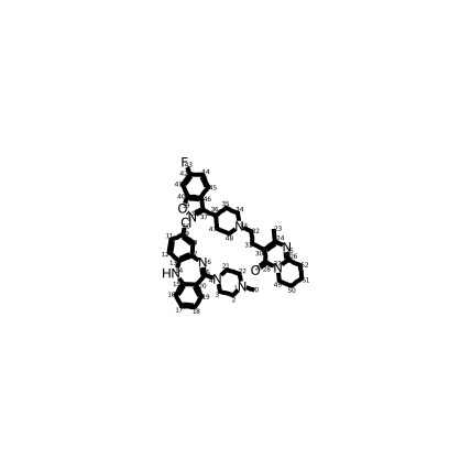 CN1CCN(C2=Nc3cc(Cl)ccc3Nc3ccccc32)CC1.Cc1nc2n(c(=O)c1CCN1CCC(c3noc4cc(F)ccc34)CC1)CCCC2